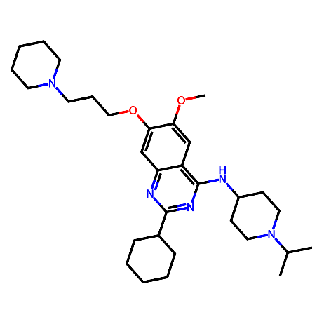 COc1cc2c(NC3CCN(C(C)C)CC3)nc(C3CCCCC3)nc2cc1OCCCN1CCCCC1